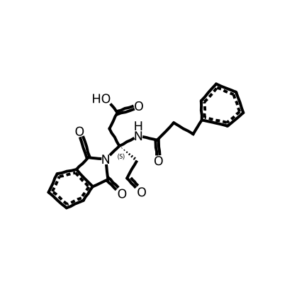 O=CC[C@](CC(=O)O)(NC(=O)CCc1ccccc1)N1C(=O)c2ccccc2C1=O